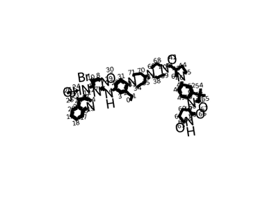 CCc1cc(Nc2ncc(Br)c(Nc3cnc4ccccc4c3P(C)(C)=O)n2)c(OC)cc1N1CCC(N2CCN(C(=O)C3CCN(c4ccc5c(c4)C(C)(C)C(=O)N5C4CCC(=O)NC4=O)C3)CC2)CC1